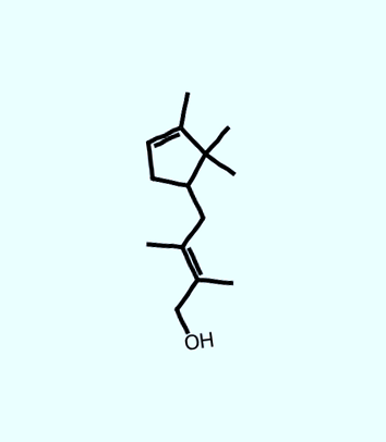 CC1=CCC(C/C(C)=C(\C)CO)C1(C)C